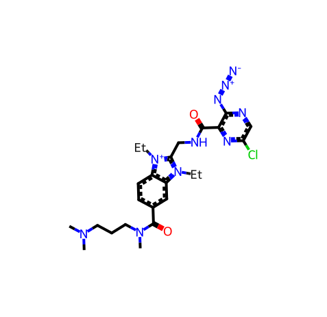 CCn1c(CNC(=O)c2nc(Cl)cnc2N=[N+]=[N-])[n+](CC)c2ccc(C(=O)N(C)CCCN(C)C)cc21